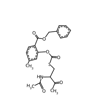 CC(=O)NC(CSC(=O)Oc1cc(C)ccc1C(=O)OCc1ccccc1)C(C)=O